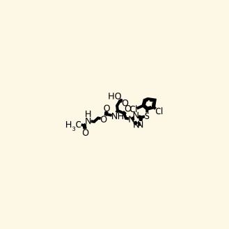 CC(=O)NCCOC(=O)NC(CC(=O)O)C(=O)Cn1nnc(Sc2c(Cl)cccc2Cl)n1